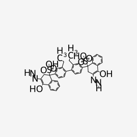 [H]/N=N/C1=C(O)c2ccccc2C(c2ccc(-c3ccc(C4(S(=O)(=O)O)CC(/N=N/[H])=C(O)c5ccccc54)cc3CC)c(CC)c2)(S(=O)(=O)O)C1